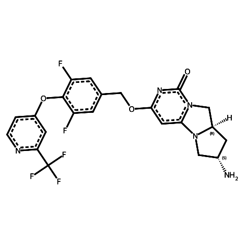 N[C@H]1C[C@@H]2Cn3c(cc(OCc4cc(F)c(Oc5ccnc(C(F)(F)F)c5)c(F)c4)nc3=O)N2C1